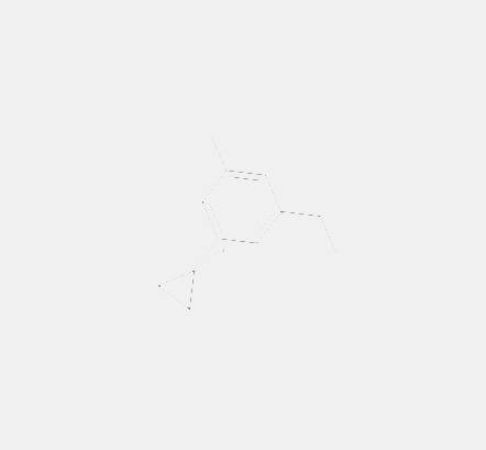 CCc1[c]c(C2CC2)cc(C)c1